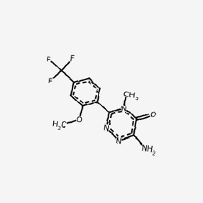 COc1cc(C(F)(F)F)ccc1-c1nnc(N)c(=O)n1C